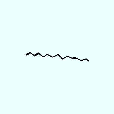 [CH]=CC=CCCCCCCC=CCCC